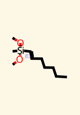 CCCCC/C=C/[Si](C)(OC)OC